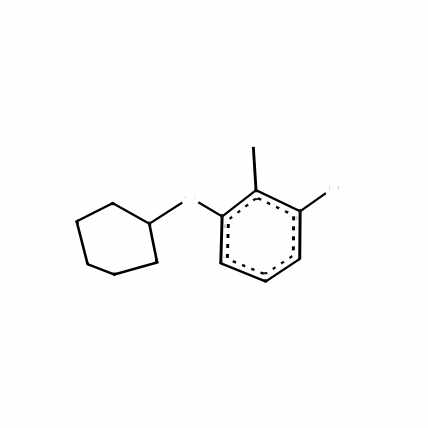 Cc1c(O)cccc1OC1CCCCC1